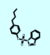 CCCCc1ccc(OS(=O)(=O)n2nnc3ccccc32)cc1